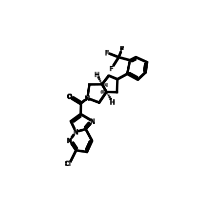 O=C(c1cn2nc(Cl)ccc2n1)N1C[C@H]2CC(c3ccccc3C(F)(F)F)C[C@H]2C1